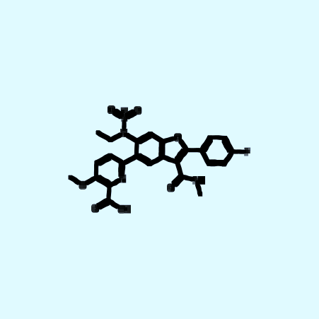 CCN(c1cc2oc(-c3ccc(F)cc3)c(C(=O)NC)c2cc1-c1ccc(OC)c(C(=O)O)n1)[SH](=O)=O